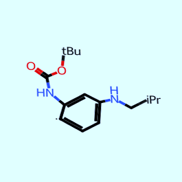 CC(C)CNc1cc[c]c(NC(=O)OC(C)(C)C)c1